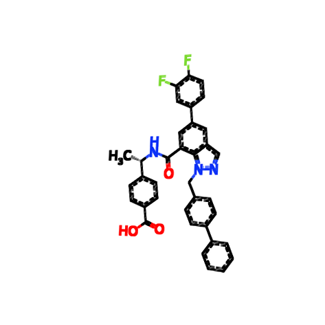 C[C@H](NC(=O)c1cc(-c2ccc(F)c(F)c2)cc2cnn(Cc3ccc(-c4ccccc4)cc3)c12)c1ccc(C(=O)O)cc1